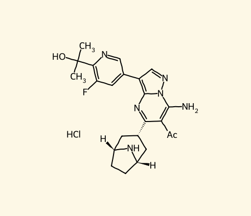 CC(=O)c1c([C@H]2C[C@H]3CC[C@@H](C2)N3)nc2c(-c3cnc(C(C)(C)O)c(F)c3)cnn2c1N.Cl